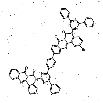 O=c1c2ccccc2nc2c3ccccc3n(-c3nc(-c4ccccc4)nc(-c4ccc(-c5ccc6c(=O)n7c(=O)n(-c8nc(-c9ccccc9)nc(-c9ccccc9)n8)c8ccc(Br)cc8c7nc6c5)cc4)n3)c(=O)n12